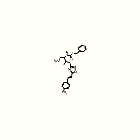 CC(=O)OCC(NC(=O)OCc1ccccc1)C(C)Cc1noc(C=Cc2ccc(C(F)(F)F)cc2)n1